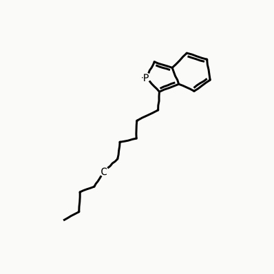 CCCCCCCCCCC1=c2ccccc2=C[P]1